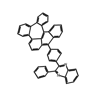 c1ccc(-c2nc3ccccc3nc2-c2ccc(-c3c4ccccc4c4c5c(cccc35)-c3ccccc3-c3ccccc3-4)cc2)cc1